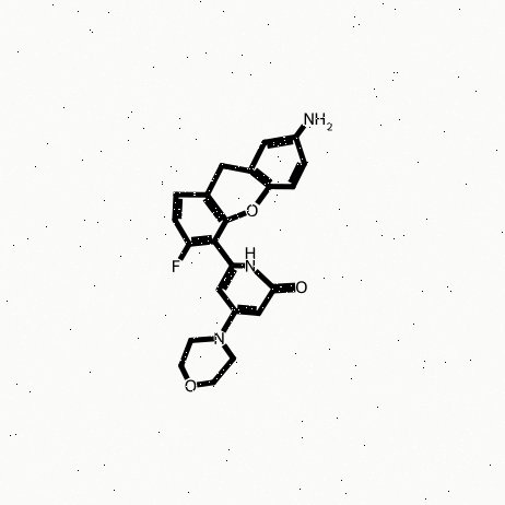 Nc1ccc2c(c1)Cc1ccc(F)c(-c3cc(N4CCOCC4)cc(=O)[nH]3)c1O2